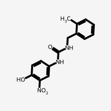 Cc1ccccc1CNC(=O)Nc1ccc(O)c([N+](=O)[O-])c1